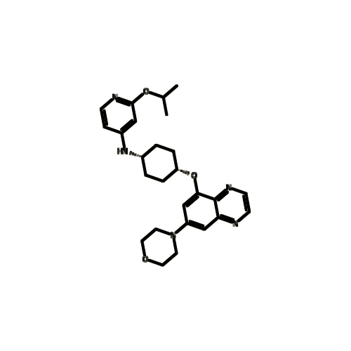 CC(C)Oc1cc(N[C@H]2CC[C@@H](Oc3cc(N4CCOCC4)cc4nccnc34)CC2)ccn1